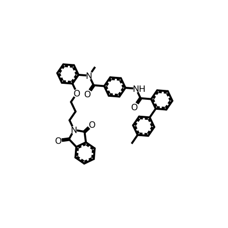 Cc1ccc(-c2ccccc2C(=O)Nc2ccc(C(=O)N(C)c3ccccc3OCCCN3C(=O)c4ccccc4C3=O)cc2)cc1